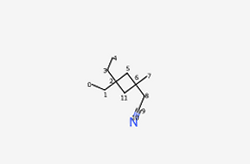 CCC1(CC)CC(C)(CC#N)C1